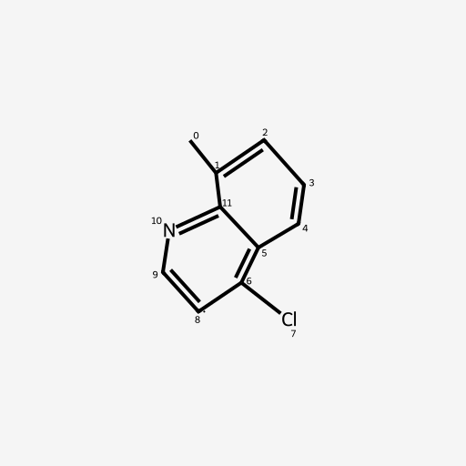 Cc1cccc2c(Cl)[c]cnc12